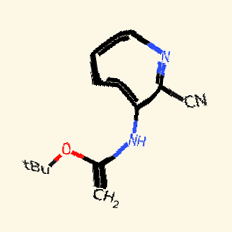 C=C(Nc1cccnc1C#N)OC(C)(C)C